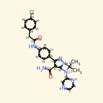 CC1(C)N(c2cnccn2)c2c(C(N)=O)c(-c3ccc(NC(=O)Cc4ccc(Cl)cc4)cc3)nn21